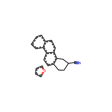 N#CC1CCc2ccc3c(ccc4ccccc43)c2C1.c1ccoc1